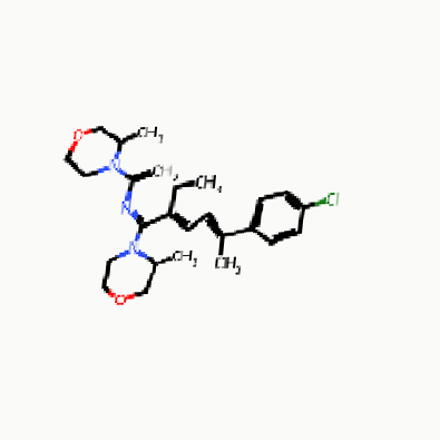 C=C(\N=C(/C(=C/C=C(\C)c1ccc(Cl)cc1)CC)N1CCOC[C@@H]1C)N1CCOCC1C